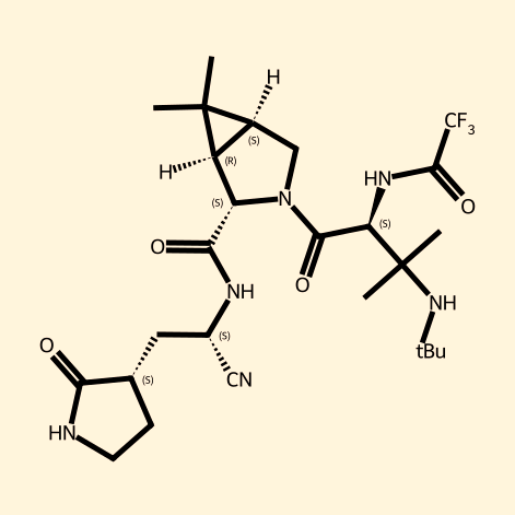 CC(C)(C)NC(C)(C)[C@H](NC(=O)C(F)(F)F)C(=O)N1C[C@H]2[C@@H]([C@H]1C(=O)N[C@H](C#N)C[C@@H]1CCNC1=O)C2(C)C